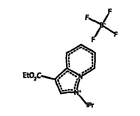 CCOC(=O)c1c[n+](C(C)C)n2ccccc12.F[B-](F)(F)F